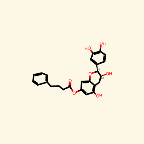 O=C(CCCc1ccccc1)Oc1cc(O)c2c(c1)O[C@@H](c1ccc(O)c(O)c1)[C@@H](O)C2